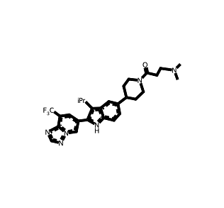 CC(C)c1c(-c2cc(C(F)(F)F)c3ncnn3c2)[nH]c2ccc(C3CCN(C(=O)CCN(C)C)CC3)cc12